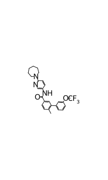 Cc1ccc(C(=O)Nc2ccc(N3CCCCCC3)nc2)cc1-c1cccc(OC(F)(F)F)c1